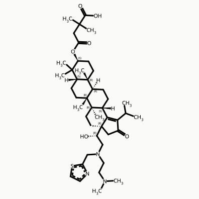 CC(C)C1=C2[C@H]3CC[C@@H]4[C@@]5(C)CC[C@H](OC(=O)CC(C)(C)C(=O)O)C(C)(C)[C@H]5CC[C@@]4(C)[C@]3(C)CC[C@@]2([C@@H](O)CN(CCN(C)C)Cc2nccs2)CC1=O